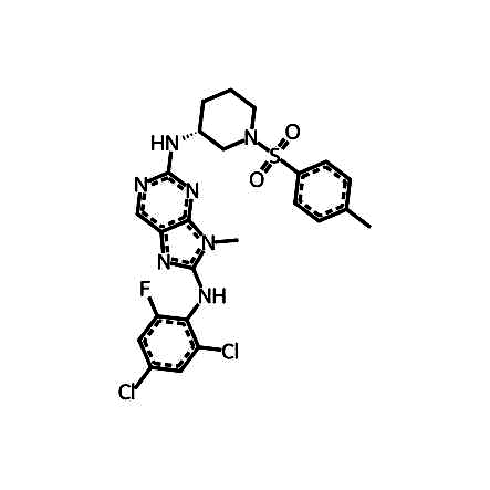 Cc1ccc(S(=O)(=O)N2CCC[C@@H](Nc3ncc4nc(Nc5c(F)cc(Cl)cc5Cl)n(C)c4n3)C2)cc1